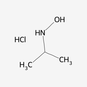 CC(C)NO.Cl